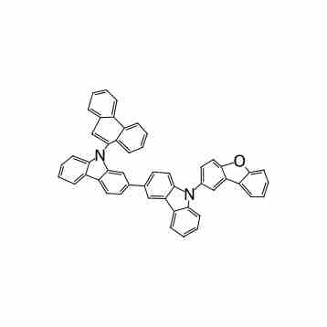 c1ccc2c(c1)cc(-n1c3ccccc3c3ccc(-c4ccc5c(c4)c4ccccc4n5-c4ccc5oc6ccccc6c5c4)cc31)c1ccccc12